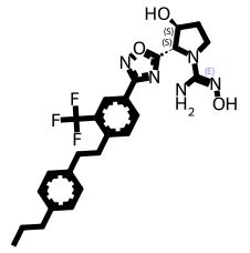 CCCc1ccc(CCc2ccc(-c3noc([C@@H]4[C@@H](O)CCN4/C(N)=N/O)n3)cc2C(F)(F)F)cc1